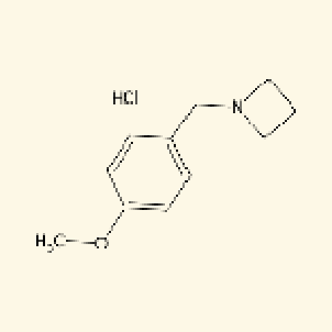 COc1ccc(CN2CCC2)cc1.Cl